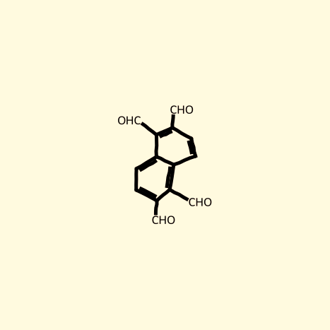 O=Cc1ccc2c(C=O)c(C=O)ccc2c1C=O